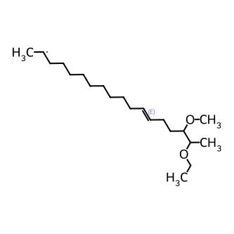 C[CH]CCCCCCCCC/C=C/CCC(OC)C(C)OCC